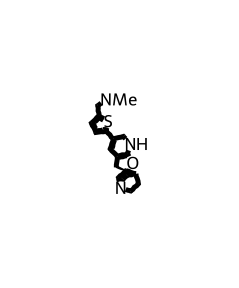 CNCc1ccc(C2=CC3=C(NC2)O[C@@]2(C3)CN3CCC2CC3)s1